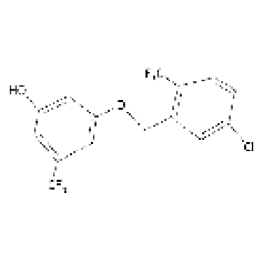 Oc1cc(OCc2cc(Cl)ccc2C(F)(F)F)cc(C(F)(F)F)c1